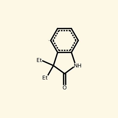 CCC1(CC)C(=O)Nc2ccc[c]c21